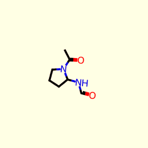 CC(=O)N1CCCC1NC=O